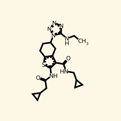 CCNc1nnnn1C1CCc2sc(NC(=O)CC3CC3)c(C(=O)NCC3CC3)c2C1